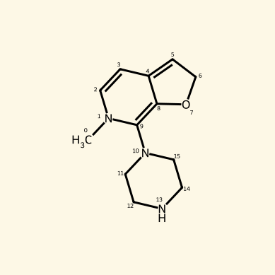 CN1C=CC2=CCOC2=C1N1CCNCC1